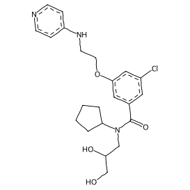 O=C(c1cc(Cl)cc(OCCNc2ccncc2)c1)N(CC(O)CO)C1CCCC1